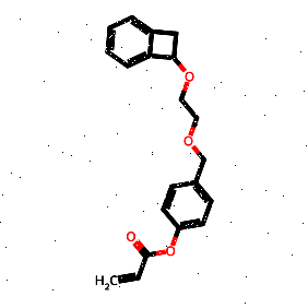 C=CC(=O)Oc1ccc(COCCOC2Cc3ccccc32)cc1